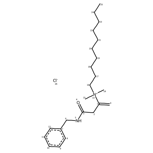 C=C(CC(=O)NCc1ccccc1)[N+](C)(C)CCCCCCCCCC.[Cl-]